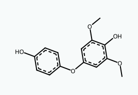 COc1cc(Oc2ccc(O)cc2)cc(OC)c1O